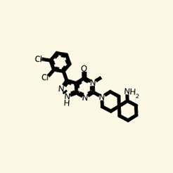 Cn1c(N2CCC3(CCCCC3N)CC2)nc2[nH]nc(-c3cccc(Cl)c3Cl)c2c1=O